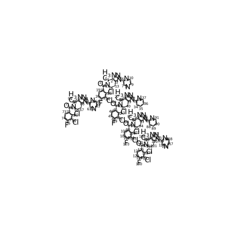 CC1c2nnn(-c3cnccn3)c2CCN1C(=O)c1ccc(F)c(Cl)c1Cl.C[C@@H]1c2nnn(-c3ccccn3)c2CCN1C(=O)c1ccc(F)c(Cl)c1Cl.C[C@@H]1c2nnn(-c3cnccn3)c2CCN1C(=O)c1ccc(F)c(Cl)c1Cl.C[C@H]1c2nnn(-c3ccccn3)c2CCN1C(=O)c1ccc(F)c(Cl)c1Cl.C[C@H]1c2nnn(-c3cnccn3)c2CCN1C(=O)c1ccc(F)c(Cl)c1Cl